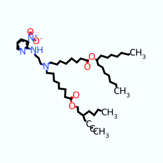 CCCCCCCC(CCCCCCC)OC(=O)CCCCCCCN(CCCCCCCC(=O)OCCC(CCCC)CCCC)CCCNc1ncccc1[N+](=O)[O-]